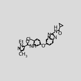 CCn1nc(C)cc1C(=O)Nc1cc(Oc2ccc3nc(NC(=O)C4CC4)nn3c2)ccc1Cl